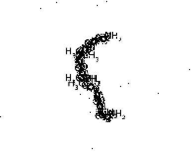 C=CC(C)(Oc1ccc(Oc2ccc(S(=O)(=O)c3ccc(C(C)(CC)Oc4cccc(N)c4)cc3)cc2)cc1)C(C)(CC)c1ccc(S(=O)(=O)c2ccc(OC(C)(CC)c3ccc(S(=O)(=O)c4ccc(Oc5cccc(N)c5)cc4)cc3)cc2)cc1